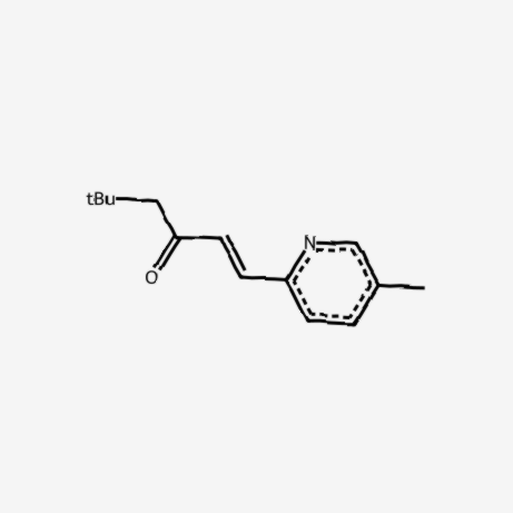 Cc1ccc(/C=C/C(=O)CC(C)(C)C)nc1